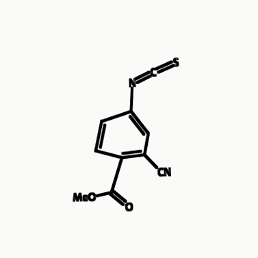 COC(=O)c1ccc(N=C=S)cc1C#N